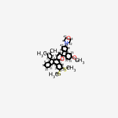 CCCC1(CCC)c2ccccc2-c2c1c1c(c3cc(SC)c(SC)cc23)OC(c2ccc(OC)cc2)(c2ccc(N3CCOCC3)cc2)C=C1